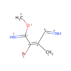 COC(=N)/C(Br)=C(/C)C=N